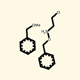 COCc1ccccc1.ClCC[SiH2]OCc1ccccc1